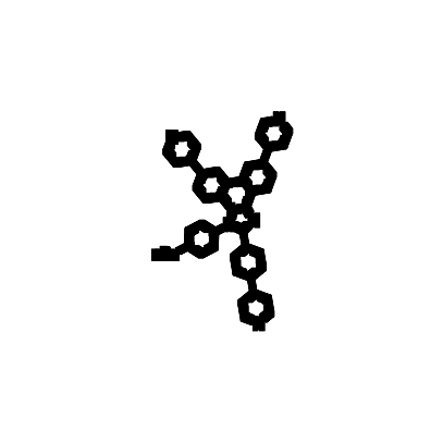 CCCCc1ccc(-n2c(-c3ccc(-c4ccncc4)cc3)nc3c4ccc(-c5ccncc5)cc4c4cc(-c5ccncc5)ccc4c32)cc1